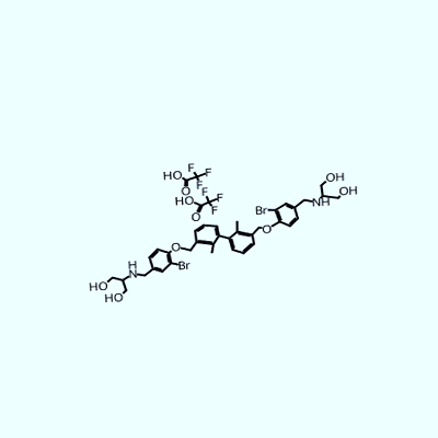 Cc1c(COc2ccc(CNC(CO)CO)cc2Br)cccc1-c1cccc(COc2ccc(CNC(CO)CO)cc2Br)c1C.O=C(O)C(F)(F)F.O=C(O)C(F)(F)F